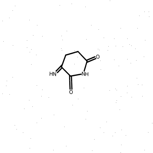 N=C1CCC(=O)NC1=O